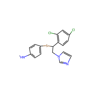 CNc1ccc(SC(Cn2ccnc2)c2ccc(Cl)cc2Cl)cc1